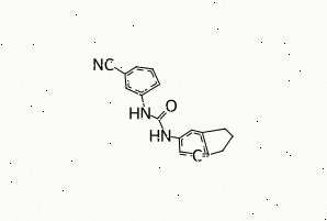 N#Cc1cccc(NC(=O)Nc2ccc3c(c2)CCC3)c1